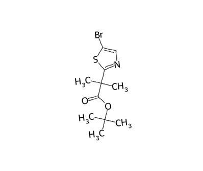 CC(C)(C)OC(=O)C(C)(C)c1ncc(Br)s1